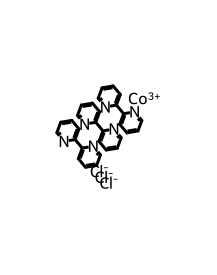 [Cl-].[Cl-].[Cl-].[Co+3].c1ccc(-c2ccccn2)nc1.c1ccc(-c2ccccn2)nc1.c1ccc(-c2ccccn2)nc1